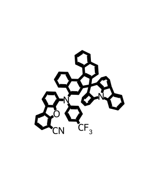 N#Cc1cccc2c1oc1c(N(c3ccc(C(F)(F)F)cc3)c3cc4c(c5ccccc35)-c3c(ccc5ccccc35)C43c4ccccc4-n4c5ccccc5c5cccc3c54)cccc12